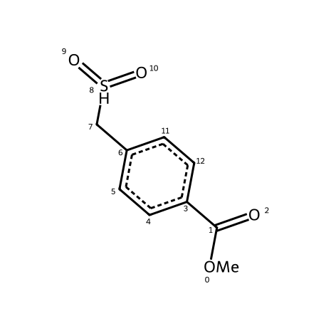 COC(=O)c1ccc(C[SH](=O)=O)cc1